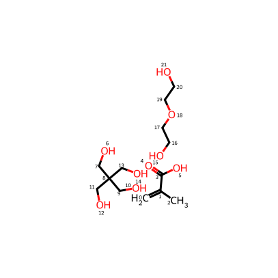 C=C(C)C(=O)O.OCC(CO)(CO)CO.OCCOCCO